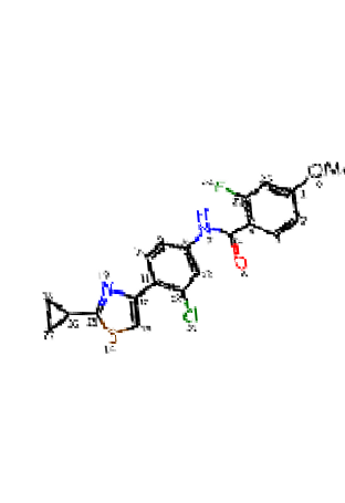 COc1ccc(C(=O)Nc2ccc(-c3csc(C4CC4)n3)c(Cl)c2)c(F)c1